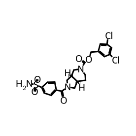 NS(=O)(=O)c1ccc(C(=O)N2C[C@H]3CCN(C(=O)OCc4cc(Cl)cc(Cl)c4)C[C@@H]3C2)cc1